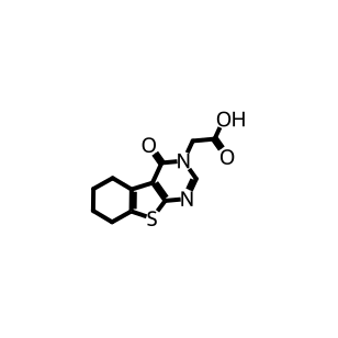 O=C(O)Cn1cnc2sc3c(c2c1=O)CCCC3